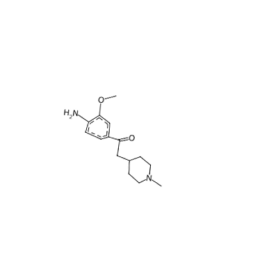 COc1cc(C(=O)CC2CCN(C)CC2)ccc1N